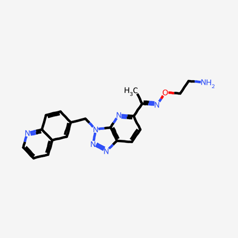 C/C(=N\OCCN)c1ccc2nnn(Cc3ccc4ncccc4c3)c2n1